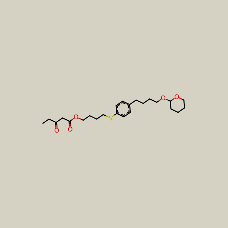 CCC(=O)CC(=O)OCCCCSc1ccc(CCCCOC2CCCCO2)cc1